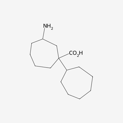 NC1CCCCC(C(=O)O)(C2CCCCCC2)C1